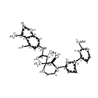 COc1nccc(-n2ccc(N3CCO[C@](C)([C@@H](O)C(=O)Nc4cc(F)c5c(N)noc5c4)C3=O)n2)n1